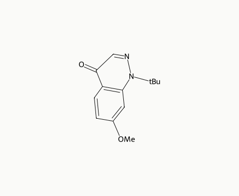 COc1ccc2c(=O)cnn(C(C)(C)C)c2c1